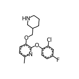 Cc1ccc(OCC2CCCNC2)c(Oc2ccc(F)cc2Cl)n1